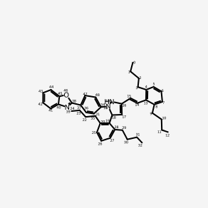 CCCCc1cccc(CCCC)c1C=CC1=CC(c2c(CCCC)cccc2CCCC)N(c2ccc(-c3nc4ccccc4o3)cc2)N1